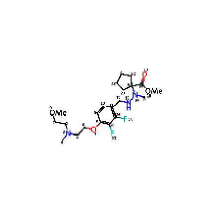 COCCN(C)CCOc1ccc(CNN(C)C2(C(=O)OC)CCCC2)c(F)c1F